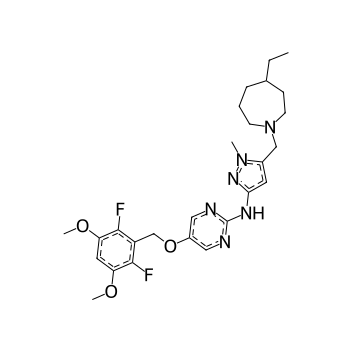 CCC1CCCN(Cc2cc(Nc3ncc(OCc4c(F)c(OC)cc(OC)c4F)cn3)nn2C)CC1